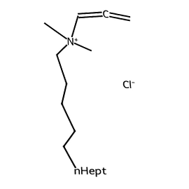 C=C=C[N+](C)(C)CCCCCCCCCCCC.[Cl-]